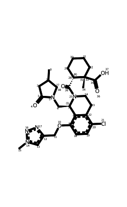 CC1CC(=O)N(C[C@@H]2c3c(OCc4cn(C)nn4)ccc(Cl)c3CCN2C(=O)[C@@H]2CCCC[C@]2(C)C(=O)O)C1